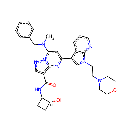 CN(Cc1ccccc1)c1cc(-c2cn(CCN3CCOCC3)c3ncccc23)nc2c(C(=O)NC3CC[C@H]3O)cnn12